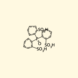 O=P(c1ccccc1S(=O)(=O)O)(c1ccccc1S(=O)(=O)O)c1ccccc1S(=O)(=O)O